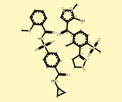 COc1ccccc1C(=O)NS(=O)(=O)c1ccc(C(=O)NC2CC2)cc1.Cc1c(C(=O)c2cnn(C)c2O)ccc(S(C)(=O)=O)c1C1=NOCC1